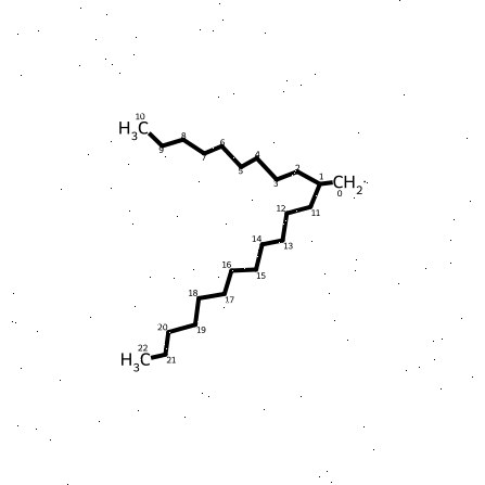 [CH2]C(CCCCCCCCC)CCCCCCCCCCCC